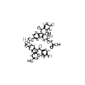 COc1ccc2c(c1)c(CC(=O)O)c(C)n2C(=O)c1ccc(Cl)cc1.COc1ccc2c(c1)c(CC(=O)OCC(=O)O)c(C)n2C(=O)c1ccc(Cl)cc1